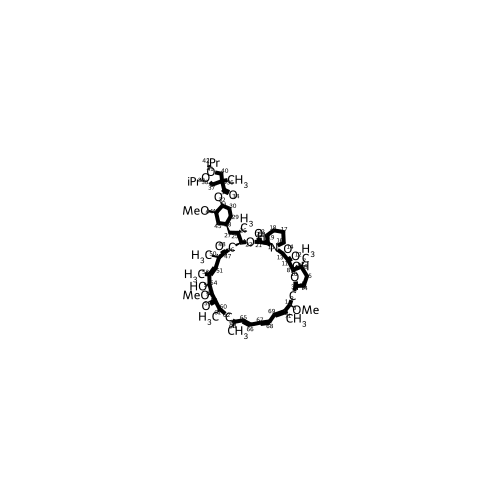 CO[C@H]1C[C@@H]2CC[C@@H](C)[C@@](O)(O2)C(=O)C(=O)N2CCCC[C@H]2C(=O)O[C@H]([C@H](C)C[C@@H]2CC[C@@H](OC(=O)C(C)(COC(C)C)COC(C)C)[C@H](OC)C2)CC(=O)[C@H](C)/C=C(\C)[C@@H](O)[C@@H](OC)C(=O)[C@H](C)C[C@H](C)/C=C/C=C/C=C/1C